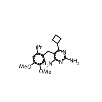 COc1cc(Cc2c(N)nc(N)nc2C2CCC2)c(C(C)C)cc1OC